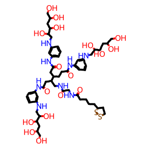 O=C(CCCCC1CCSS1)NCC(=O)NCC(CC(=O)Nc1cccc(NCC(O)C(O)CC(O)CO)c1)C(CCC(=O)Nc1cccc(NCC(O)C(O)CC(O)CO)c1)CC(=O)Nc1cccc(NCC(O)C(O)CC(O)CO)c1